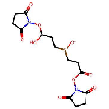 O=C(CC[S+]([O-])CCC(O)ON1C(=O)CCC1=O)ON1C(=O)CCC1=O